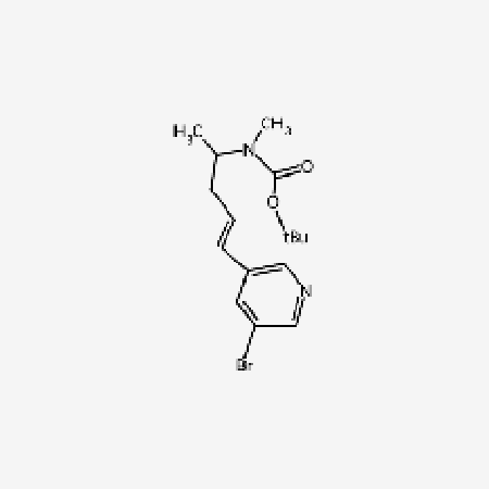 CC(CC=Cc1cncc(Br)c1)N(C)C(=O)OC(C)(C)C